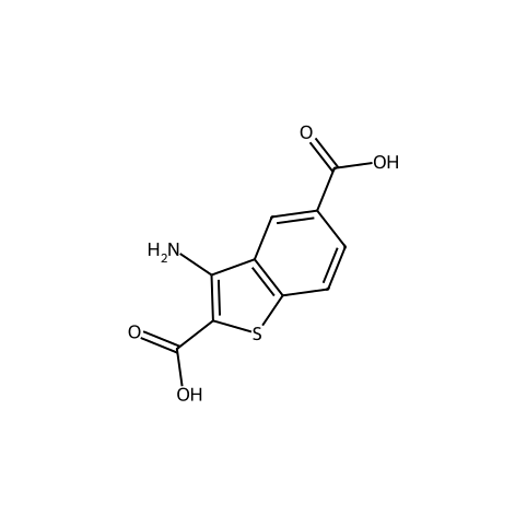 Nc1c(C(=O)O)sc2ccc(C(=O)O)cc12